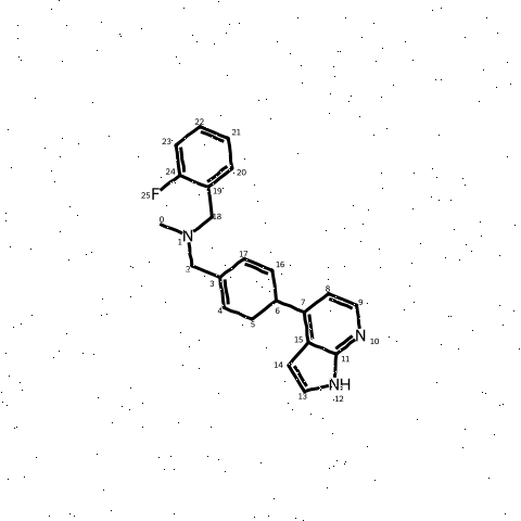 CN(CC1=CCC(c2ccnc3[nH]ccc23)C=C1)Cc1ccccc1F